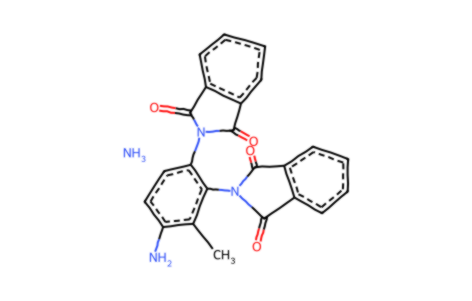 Cc1c(N)ccc(N2C(=O)c3ccccc3C2=O)c1N1C(=O)c2ccccc2C1=O.N